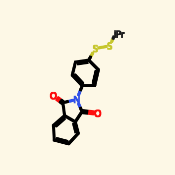 CC(C)SSc1ccc(N2C(=O)c3ccccc3C2=O)cc1